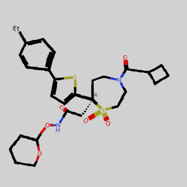 CCc1ccc(-c2ccc([C@@]3(CC(=O)NOC4CCCCO4)CCN(C(=O)C4CCC4)CCS3(=O)=O)s2)cc1